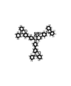 N=C1C(c2ccc(-n3c4ccccc4c4ccccc43)cc2)=CC=C(N(c2ccc(-c3ccc4c(c3)Oc3ccccc3N4c3ccccc3)cc2)c2ccc(-c3ccc4c(c3)Oc3ccccc3N4c3ccccc3)cc2)/C1=N/S